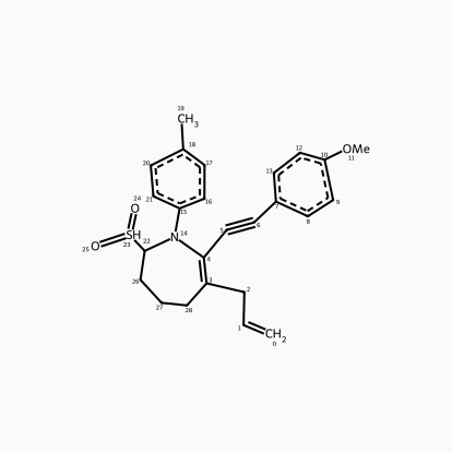 C=CCC1=C(C#Cc2ccc(OC)cc2)N(c2ccc(C)cc2)C([SH](=O)=O)CCC1